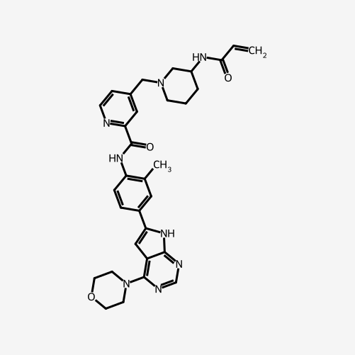 C=CC(=O)NC1CCCN(Cc2ccnc(C(=O)Nc3ccc(-c4cc5c(N6CCOCC6)ncnc5[nH]4)cc3C)c2)C1